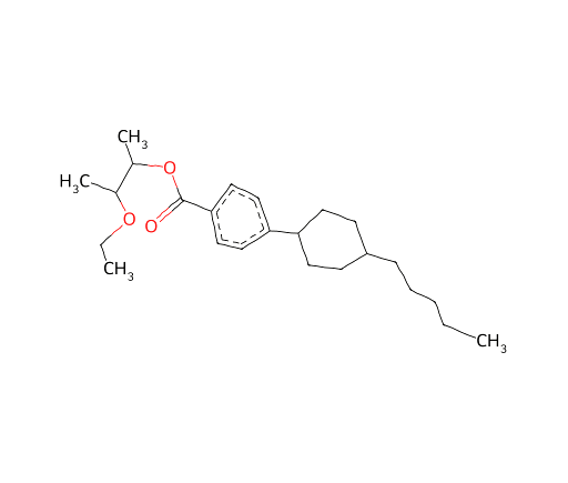 CCCCCC1CCC(c2ccc(C(=O)OC(C)C(C)OCC)cc2)CC1